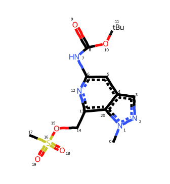 Cn1ncc2cc(NC(=O)OC(C)(C)C)nc(COS(C)(=O)=O)c21